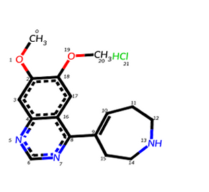 COc1cc2ncnc(C3=CCCNCC3)c2cc1OC.Cl